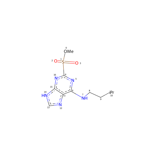 COS(=O)(=O)c1nc(NCCC(C)C)c2nc[nH]c2n1